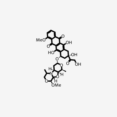 COc1cccc2c1C(=O)c1c(O)c3c(c(O)c1C2=O)C[C@@](O)(C(=O)CO)C[C@@H]3O[C@H]1C[C@H]2[C@H](O[C@@H]3[C@@H](OC)OCC(C)N32)[C@H](C)O1